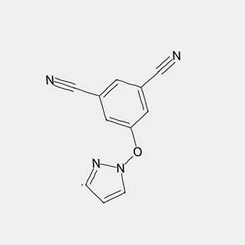 N#Cc1cc(C#N)cc(On2cc[c]n2)c1